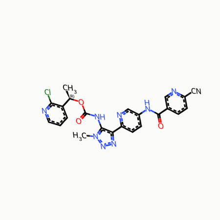 C[C@@H](OC(=O)Nc1c(-c2ccc(NC(=O)c3ccc(C#N)nc3)cn2)nnn1C)c1cccnc1Cl